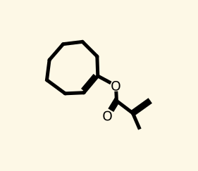 C=C(C)C(=O)OC1=CCCCCCC1